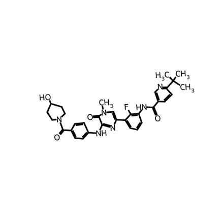 Cn1cc(-c2cccc(NC(=O)c3ccc(C(C)(C)C)nc3)c2F)nc(Nc2ccc(C(=O)N3CCC(O)CC3)cc2)c1=O